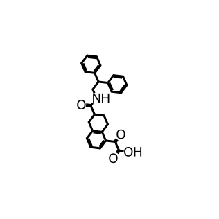 O=C(O)C(=O)c1cccc2c1CCC(C(=O)NCC(c1ccccc1)c1ccccc1)C2